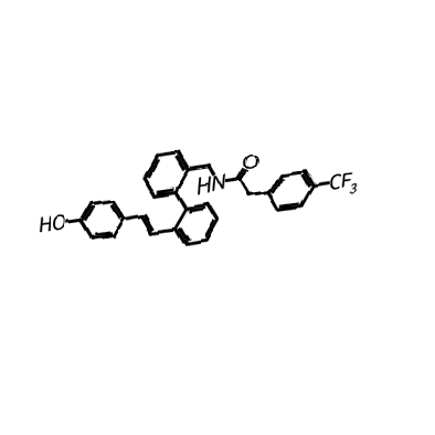 O=C(Cc1ccc(C(F)(F)F)cc1)NCc1ccccc1-c1ccccc1/C=C/c1ccc(O)cc1